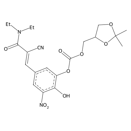 CCN(CC)C(=O)/C(C#N)=C/c1cc(OC(=O)OCC2COC(C)(C)O2)c(O)c([N+](=O)[O-])c1